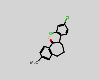 COc1ccc2c(c1)CCCC(c1ccc(Cl)cc1Cl)C2=O